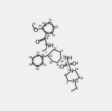 CCN1CCN(S(=O)(=O)N[C@H]2CC[C@](CNC(=O)c3ccccc3OC)(c3ccccc3)CC2)CC1